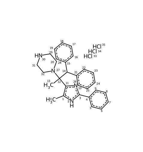 Cc1[nH]c(-c2ccccc2)nc1C(C)(C(c1ccccc1)c1ccccc1)N1CCNCC1.Cl.Cl.Cl